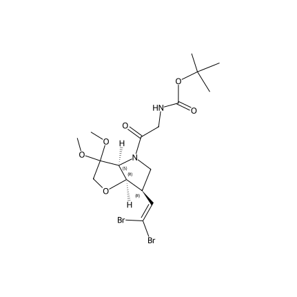 COC1(OC)CO[C@@H]2[C@H](C=C(Br)Br)CN(C(=O)CNC(=O)OC(C)(C)C)[C@@H]21